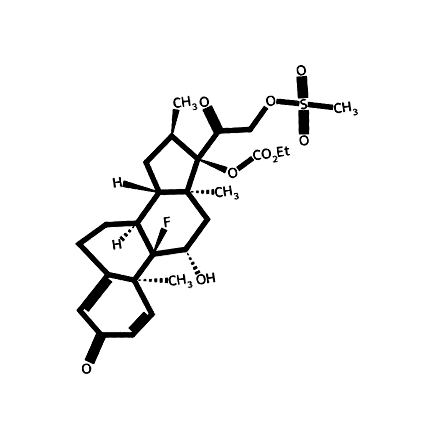 CCOC(=O)O[C@]1(C(=O)COS(C)(=O)=O)[C@H](C)C[C@H]2[C@@H]3CCC4=CC(=O)C=C[C@]4(C)[C@@]3(F)[C@@H](O)C[C@@]21C